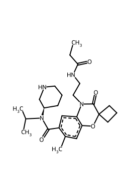 CCC(=O)NCCN1C(=O)C2(CCC2)Oc2cc(C)c(C(=O)N(C(C)C)[C@@H]3CCCNC3)cc21